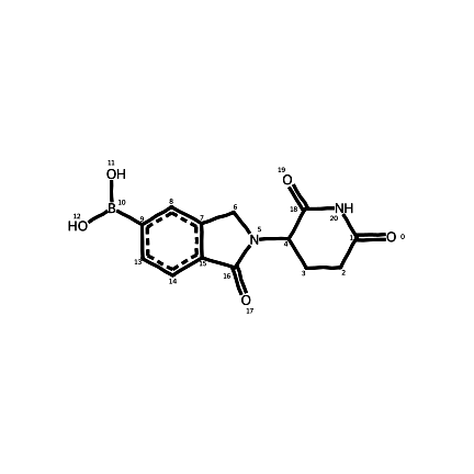 O=C1CCC(N2Cc3cc(B(O)O)ccc3C2=O)C(=O)N1